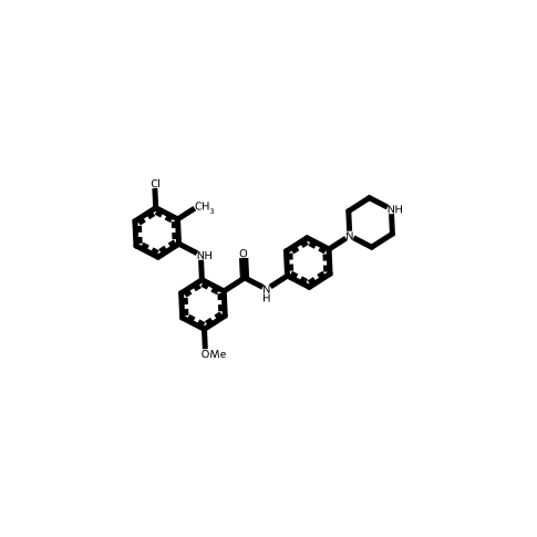 COc1ccc(Nc2cccc(Cl)c2C)c(C(=O)Nc2ccc(N3CCNCC3)cc2)c1